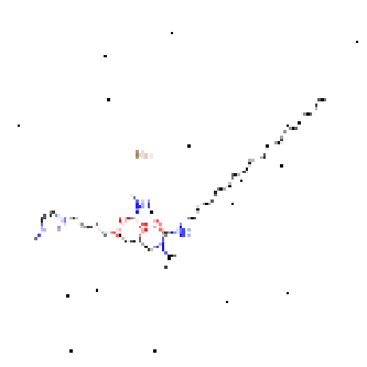 Br.CCCCCCCCCCCCCCCCCCNC(=O)N(C[C@@H](COCCCCN1C=CN(C)C1)OC(=O)NC)C(C)C